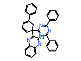 Clc1nc2ccccc2nc1C1(c2nc(-c3ccccc3)nc(-c3ccccc3)n2)C=CC=C(c2ccccc2)C1